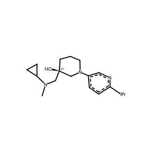 CC(C)c1ccc(N2CCC[C@@](O)(CN(C)C3CC3)C2)cn1